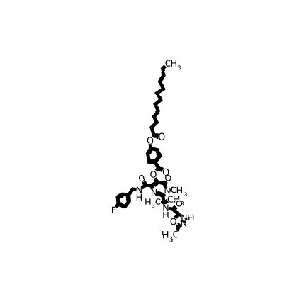 CCCCCCCCCCCCC(=O)Oc1ccc(C(=O)Oc2c(C(=O)NCc3ccc(F)cc3)nc(C(C)(C)NC(=O)C3NN=C(C)O3)n(C)c2=O)cc1